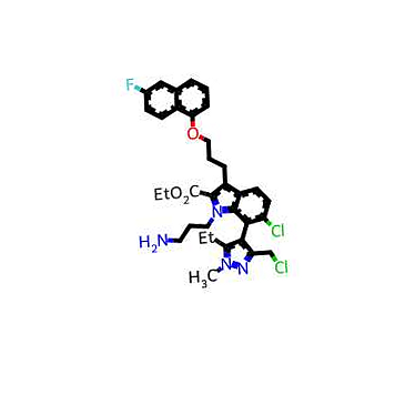 CCOC(=O)c1c(CCCOc2cccc3cc(F)ccc23)c2ccc(Cl)c(-c3c(CCl)nn(C)c3CC)c2n1CCCN